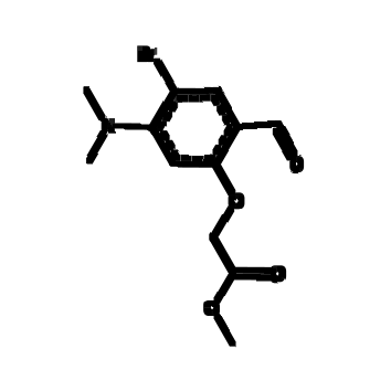 COC(=O)COc1cc(N(C)C)c(Br)cc1C=O